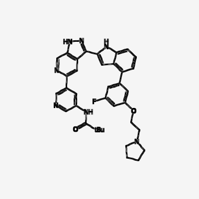 CC(C)(C)C(=O)Nc1cncc(-c2cc3c(-c4cc5c(-c6cc(F)cc(OCCN7CCCC7)c6)cccc5[nH]4)n[nH]c3cn2)c1